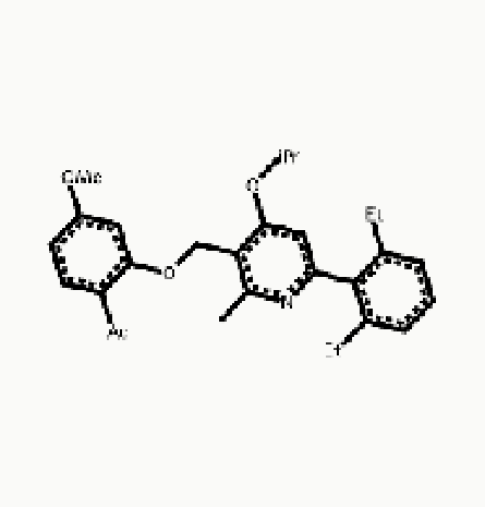 CCc1cccc(CC)c1-c1cc(OC(C)C)c(COc2cc(OC)ccc2C(C)=O)c(C)n1